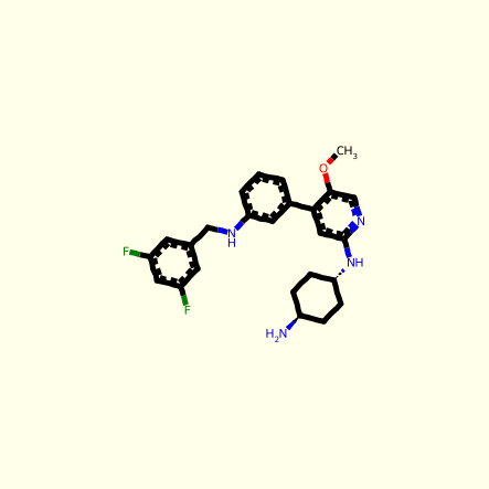 COc1cnc(N[C@H]2CC[C@H](N)CC2)cc1-c1cccc(NCc2cc(F)cc(F)c2)c1